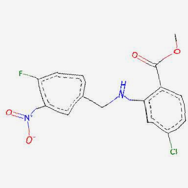 COC(=O)c1ccc(Cl)cc1NCc1ccc(F)c([N+](=O)[O-])c1